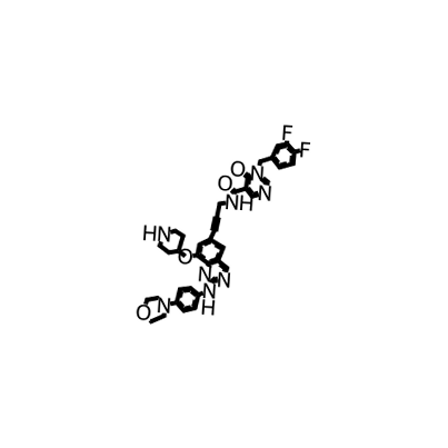 O=C(NCC#Cc1cc(OC2CCNCC2)c2nc(Nc3ccc(N4CCOCC4)cc3)ncc2c1)c1cncn(Cc2ccc(F)c(F)c2)c1=O